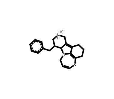 C1=CSC2=C3C(=C4CNCC(Cc5ccccc5)C4N3C1)CCC2.Cl